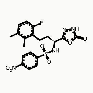 Cc1ccc(F)c(CC[C@H](NS(=O)(=O)c2ccc([N+](=O)[O-])cc2)c2n[nH]c(=O)o2)c1C